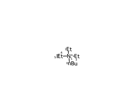 CCCC[N+](CC)(CC)CC.[I-]